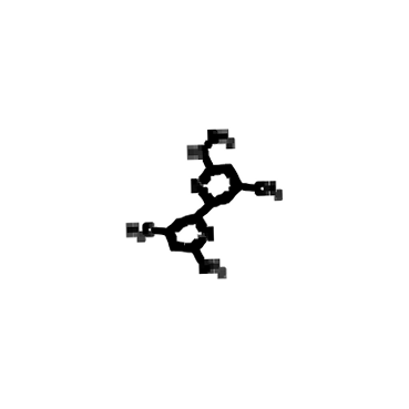 BBc1cc(C)cc(-c2cc(C)cc(B)n2)n1